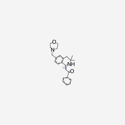 CC1(C)Cc2cc(CN3CCOCC3)ccc2/C(=C/C(=O)c2ccccc2)N1